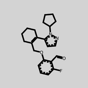 O=Cc1c(F)cccc1OCC1=C(c2ccnn2C2CCCC2)CCCC1